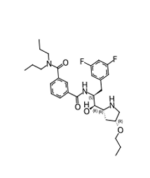 CCCO[C@H]1CN[C@@H]([C@@H](O)[C@H](Cc2cc(F)cc(F)c2)NC(=O)c2cccc(C(=O)N(CCC)CCC)c2)C1